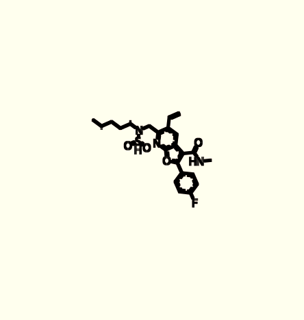 C=Cc1cc2c(C(=O)NC)c(-c3ccc(F)cc3)oc2nc1CN([CH]CC[CH]C)[SH](=O)=O